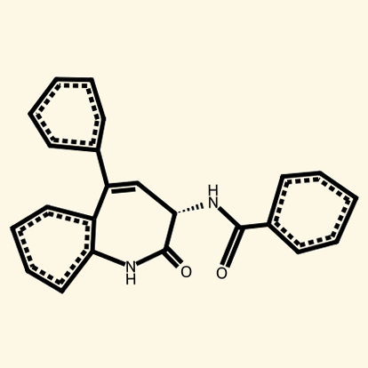 O=C(N[C@H]1C=C(c2ccccc2)c2ccccc2NC1=O)c1ccccc1